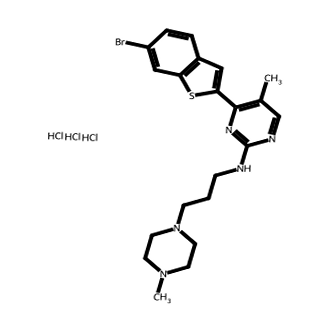 Cc1cnc(NCCCN2CCN(C)CC2)nc1-c1cc2ccc(Br)cc2s1.Cl.Cl.Cl